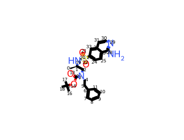 C[C@H](CN(CCc1ccccc1)C(=O)OC(C)(C)C)NS(=O)(=O)c1ccc2c(N)nccc2c1